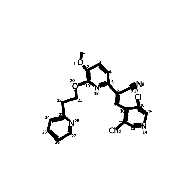 COc1ccc(C(C#N)=Cc2c(Cl)cncc2Cl)nc1OCCc1ccccn1